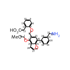 COCOc1c(COc2ccccc2CC(=O)O)cc(-c2cccc(CN)c2)c2occc12